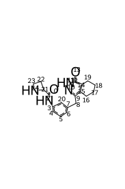 O=C(Nc1cccc(Cc2n[nH]c(=O)c3c2CCCC3)c1)C1CCN1